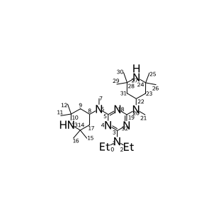 CCN(CC)c1nc(N(C)C2CC(C)(C)NC(C)(C)C2)nc(N(C)C2CC(C)(C)NC(C)(C)C2)n1